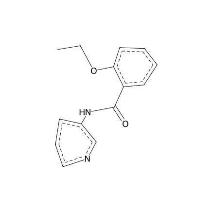 CCOc1ccccc1C(=O)Nc1cccnc1